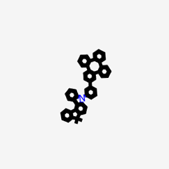 CC1(C)c2ccccc2-c2c1ccc1c2c2ccccc2n1-c1cccc(-c2ccc3c(c2)-c2ccccc2-c2ccccc2-c2ccccc2-3)c1